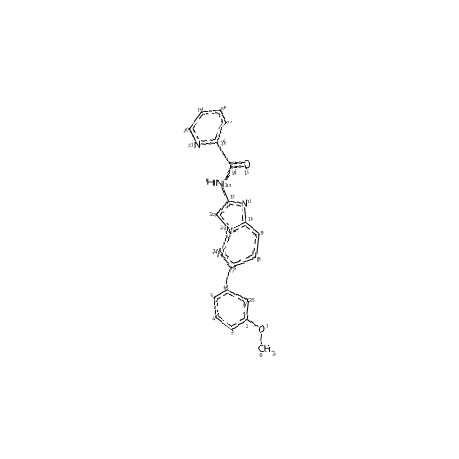 COc1cccc(-c2ccc3nc(NC(=O)c4ccccn4)cn3n2)c1